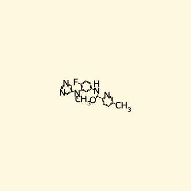 Cc1ccc(C(=O)Nc2ccc(F)c(N(C)c3cncnc3)c2)nc1